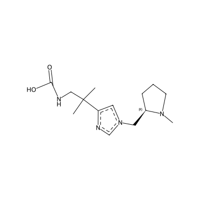 CN1CCC[C@@H]1Cn1cnc(C(C)(C)CNC(=O)O)c1